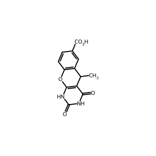 CC1c2cc(C(=O)O)ccc2Oc2[nH]c(=O)[nH]c(=O)c21